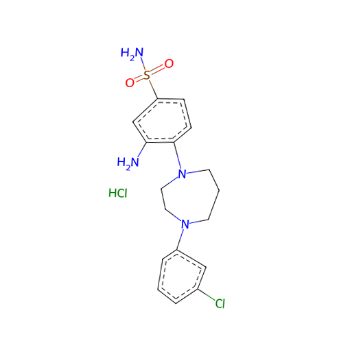 Cl.Nc1cc(S(N)(=O)=O)ccc1N1CCCN(c2cccc(Cl)c2)CC1